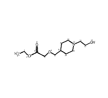 CCOC(=O)COCC1CCN(CCO)CC1